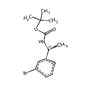 C[C@H](NC(=O)OC(C)(C)C)c1cccc(Br)c1